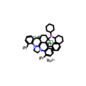 CC(C)c1cccc(C(C)C)c1N1CCN(c2c(C(C)C)cccc2C(C)C)C1=C1C(=Cc2ccccc2)C(Cl)(P(C2CCCCC2)C2CCCCC2)CCC1Cl.[Ru+2]